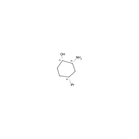 CC(C)[C@@H]1CC[C@H](O)[C@H](N)C1